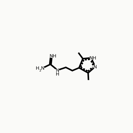 Cc1n[nH]c(C)c1CCNC(=N)N